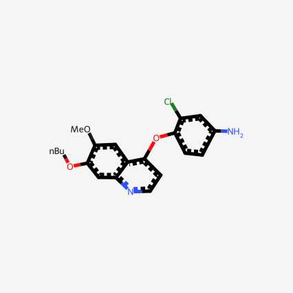 CCCCOc1cc2nccc(Oc3ccc(N)cc3Cl)c2cc1OC